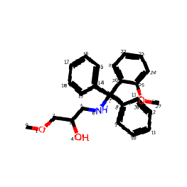 COCC(O)CNC(c1ccccc1)(c1ccccc1)c1ccccc1OC